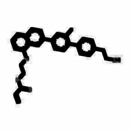 C=CC(=O)OCCOc1cccc2ccc(-c3ccc(-c4ccc(CCO)cc4)c(C)c3)cc12